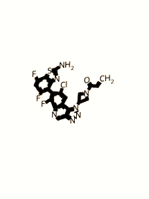 C=CC(=O)N1CC(n2nnc3cnc4c(F)c(-c5c(F)cc(F)c6sc(N)nc56)c(Cl)cc4c32)C1